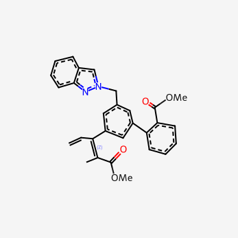 C=C/C(=C(\C)C(=O)OC)c1cc(Cn2cc3ccccc3n2)cc(-c2ccccc2C(=O)OC)c1